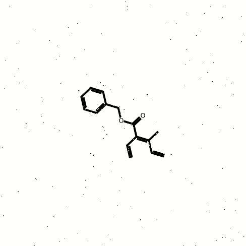 C=C/C(C)=C(\C=C)C(=O)OCc1ccccc1